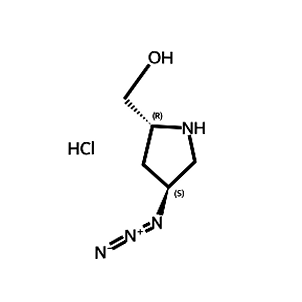 Cl.[N-]=[N+]=N[C@@H]1CN[C@@H](CO)C1